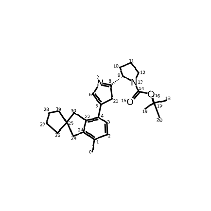 Cc1ccc(C2=CN=C([C@@H]3CCCN3C(=O)OC(C)(C)C)C2)c2c1CC1(CCCC1)C2